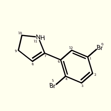 Brc1ccc(Br)c(C2=CCCN2)c1